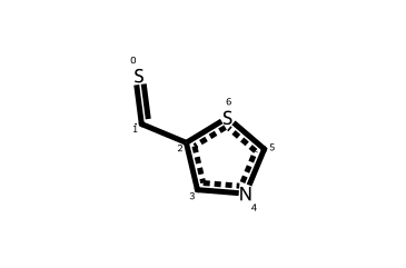 S=[C]c1cncs1